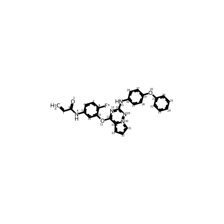 C=CC(=O)Nc1ccc(F)c(Oc2nc(Nc3ccc(Oc4ccccc4)cc3)nn3cccc23)c1